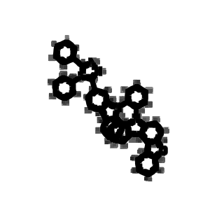 c1ccc(-c2nnc(-c3ccc4c5ccccc5n(-c5ccccc5-n5c6ccccc6c6c7c(ccc65)oc5ccccc57)c4c3)n2-c2ccccc2)cc1